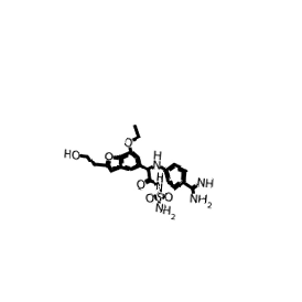 CCOc1cc(C(Nc2ccc(C(=N)N)cc2)C(=O)NS(N)(=O)=O)cc2cc(CCO)oc12